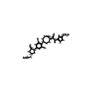 CC(=O)NC[C@H]1CN(c2cc(F)c(N3CCNN(C(=O)Nc4nc(C(=O)O)cs4)CC3)c(F)c2)C(=O)O1